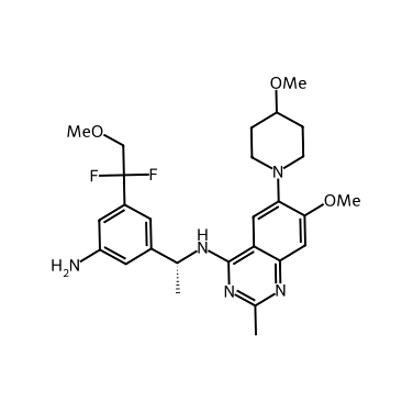 COCC(F)(F)c1cc(N)cc([C@@H](C)Nc2nc(C)nc3cc(OC)c(N4CCC(OC)CC4)cc23)c1